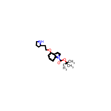 CC(C)(C)OC(=O)n1ccc2c(OCCC3CCCN3)cccc21